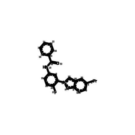 CC(C)c1cnc2nn(-c3cc(NC(=O)c4cnccn4)ccc3F)cc2c1